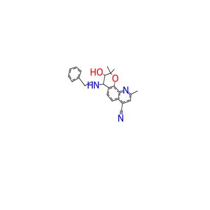 Cc1cc(C#N)c2ccc3c(c2n1)OC(C)(C)C(O)C3NCCc1ccccc1